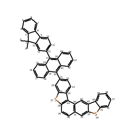 CC1(C)c2ccccc2-c2ccc(-c3c4ccccc4c(-c4ccc5c(c4)sc4ccc6cc7sc8ccccc8c7cc6c45)c4ccccc34)cc21